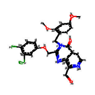 COc1ccc(Cn2c(COc3ccc(F)c(Cl)c3)nc3c(C=O)nccc3c2=O)c(OC)c1